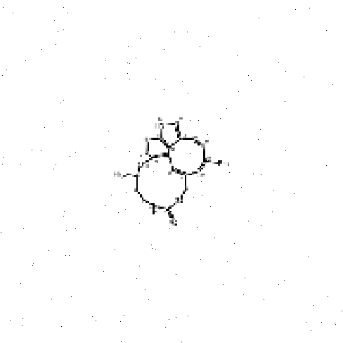 CC1CCNC(=O)OCC2=Cc3c(ccc4[nH]nc(c34)C=CC(F)=C2)O1